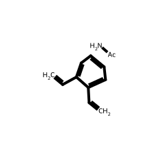 C=Cc1ccccc1C=C.CC(N)=O